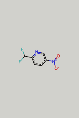 O=[N+]([O-])c1ccc(C(F)F)nc1